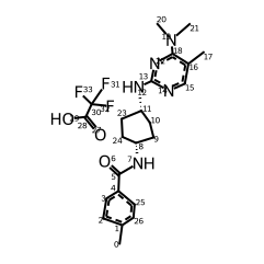 Cc1ccc(C(=O)N[C@H]2CC[C@@H](Nc3ncc(C)c(N(C)C)n3)CC2)cc1.O=C(O)C(F)(F)F